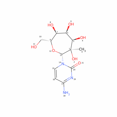 C[C@@]1(O)[C@H](O)[C@H](O)[C@H](O)[C@@H](CO)O[C@H]1n1ccc(N)nc1=O